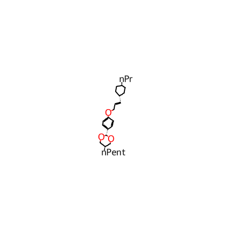 CCCCC[C@H]1CO[C@H](c2ccc(OC/C=C/[C@H]3CC[C@H](CCC)CC3)cc2)OC1